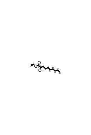 C=COC(=O)C(O)CCCCCCCC